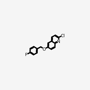 Fc1ccc(COc2ccc3nc(Cl)ccc3c2)cc1